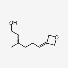 CC(=CCO)CCC=C1COC1